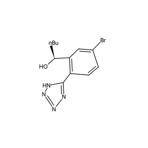 CCCC[C@H](O)c1cc(Br)ccc1-c1nnn[nH]1